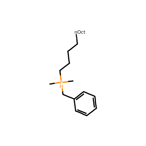 CCCCCCCCCCCC[PH](C)(C)Cc1ccccc1